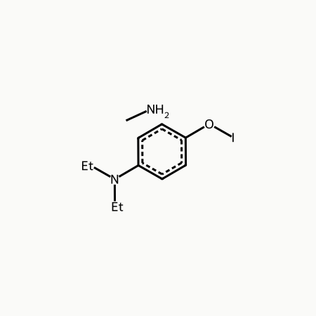 CCN(CC)c1ccc(OI)cc1.CN